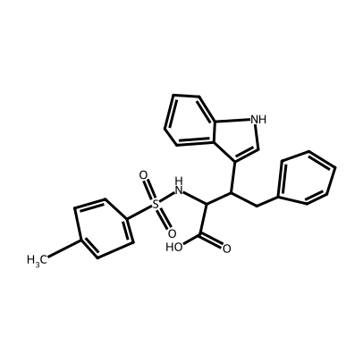 Cc1ccc(S(=O)(=O)NC(C(=O)O)C(Cc2ccccc2)c2c[nH]c3ccccc23)cc1